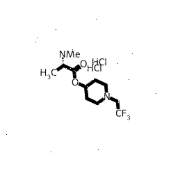 CN[C@@H](C)C(=O)OC1CCN(CC(F)(F)F)CC1.Cl.Cl